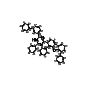 c1ccc(C2=NC(c3ccc4c(oc5c(-c6ccccc6)cccc54)c3-c3ccccc3)=NC(c3cccc(-c4ccccc4)c3)N2)cc1